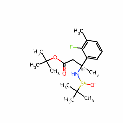 Cc1cccc([C@](C)(CC(=O)OC(C)(C)C)N[S+]([O-])C(C)(C)C)c1F